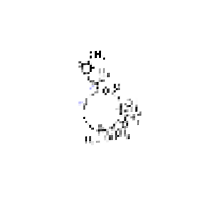 C/C(=C\c1csc(C)n1)C1C/C=C\CCC[C@H](C)[C@H](O)[C@@H](C)C(=O)C(C)(C)[C@@H](O)CC(=O)O1